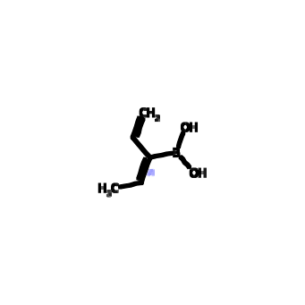 C=C/C(=C\C)B(O)O